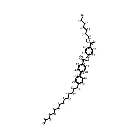 CCCCCCCCCCCCCCCc1ccc(-c2ccc(C(=O)Oc3ccc(C(C)OCCCCCCC)cc3)cc2)cc1